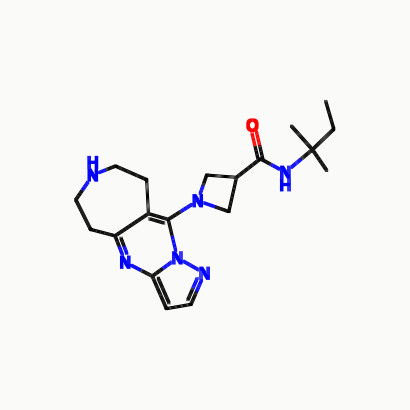 CCC(C)(C)NC(=O)C1CN(c2c3c(nc4ccnn24)CCNCC3)C1